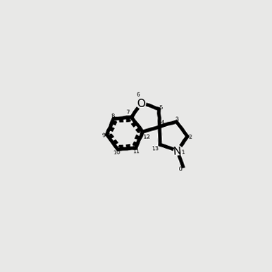 CN1CCC2(COc3ccccc32)C1